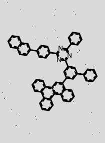 c1ccc(-c2cc(-c3nc(-c4ccccc4)nc(-c4ccc(-c5ccc6ccccc6c5)cc4)n3)cc(-c3cc4c5ccccc5c5ccccc5c4c4ccccc34)c2)cc1